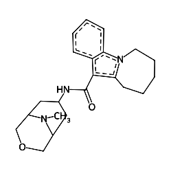 CN1C2COCC1CC(NC(=O)c1c3n(c4ccccc14)CCCCC3)C2